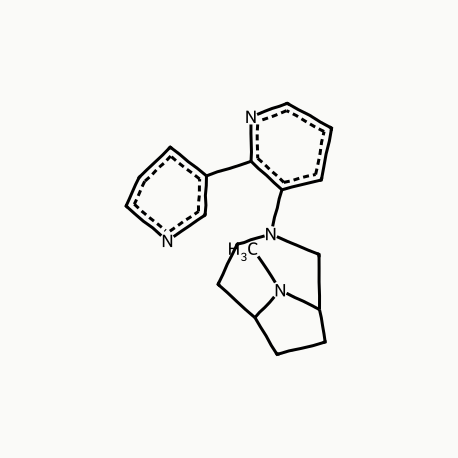 CN1C2CCC1CN(c1cccnc1-c1cccnc1)CC2